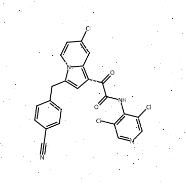 N#Cc1ccc(Cc2cc(C(=O)C(=O)Nc3c(Cl)cncc3Cl)c3cc(Cl)ccn23)cc1